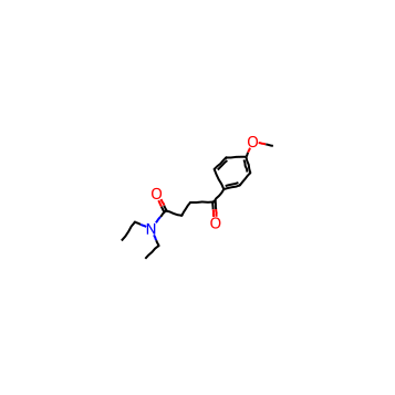 CCN(CC)C(=O)CCC(=O)c1ccc(OC)cc1